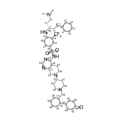 CN(C)CC[C@H](CSc1ccccc1)Nc1ccc(S(=O)(=O)Nc2ncnc3c2CCN(C2CCN(Cc4ccccc4-c4ccc(Cl)cc4)CC2)C3)cc1C(F)(F)F